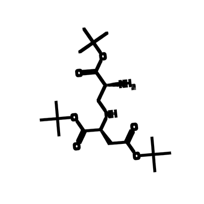 CC(C)(C)OC(=O)C[C@H](NC[C@H](N)C(=O)OC(C)(C)C)C(=O)OC(C)(C)C